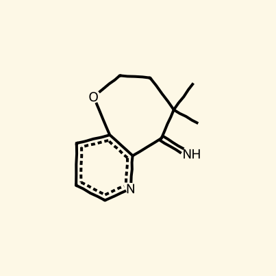 CC1(C)CCOc2cccnc2C1=N